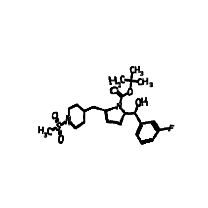 CC(C)(C)OC(=O)N1[C@H](CC2CCN(S(C)(=O)=O)CC2)CC[C@@H]1[C@@H](O)c1cccc(F)c1